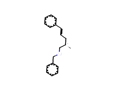 C[C@H](CC=Cc1ccccc1)CNCc1ccccc1